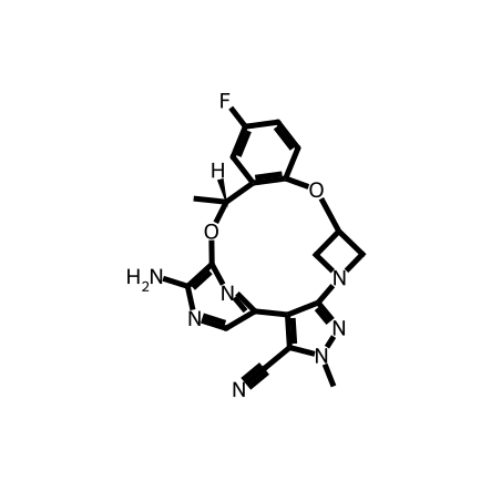 C[C@H]1Oc2nc(cnc2N)-c2c(nn(C)c2C#N)N2CC(C2)Oc2ccc(F)cc21